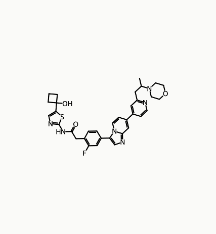 CC(Cc1cc(-c2ccn3c(-c4ccc(CC(=O)Nc5ncc(C6(O)CCC6)s5)c(F)c4)cnc3c2)ccn1)N1CCOCC1